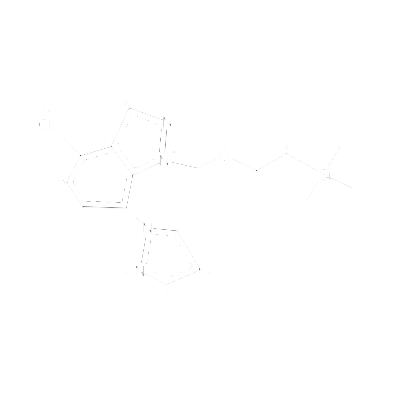 C[Si](C)(C)CCOCn1ncc2c(Cl)ccc(-n3cccn3)c21